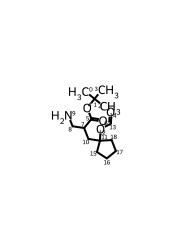 CC(C)(C)OC(=O)C(CN)CC1(OC=O)CCCC1